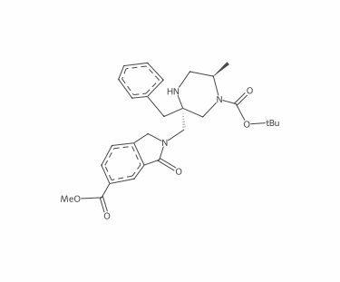 COC(=O)c1ccc2c(c1)C(=O)N(C[C@@]1(Cc3ccccc3)CN(C(=O)OC(C)(C)C)[C@H](C)CN1)C2